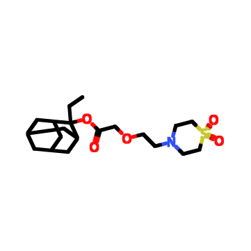 CCC1(OC(=O)COCCN2CCS(=O)(=O)CC2)C2CC3CC(C2)CC1C3